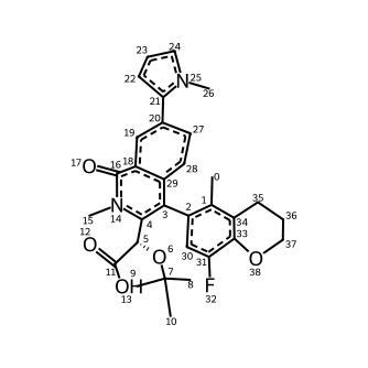 Cc1c(-c2c([C@H](OC(C)(C)C)C(=O)O)n(C)c(=O)c3cc(-c4cccn4C)ccc23)cc(F)c2c1CCCO2